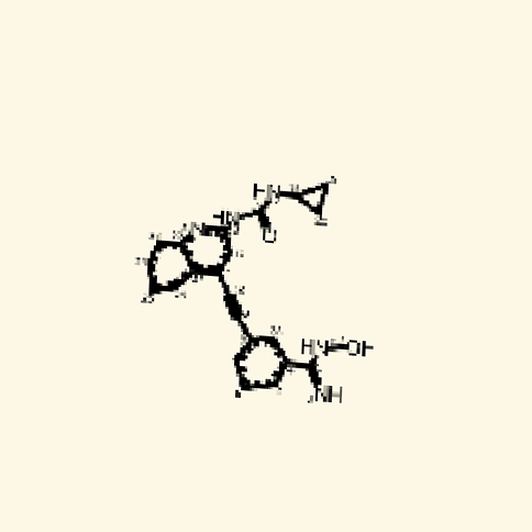 N=C(NO)c1cccc(C#Cc2cc(NC(=O)NC3CC3)nc3ccccc23)c1